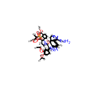 CCOc1cc(C(Nc2ccc3c(N)nccc3c2)C(=O)N2CCC(C(=O)OC)C2c2cccc(C(=O)OC)c2S(=O)(=O)C(C)C)ccc1OC(C)C